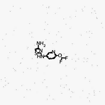 Nc1csc(Nc2ccc(OC(F)F)nc2)n1